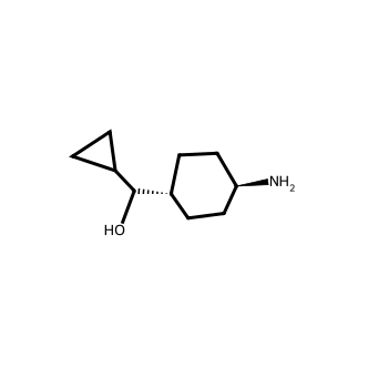 N[C@H]1CC[C@H](C(O)C2CC2)CC1